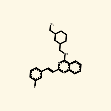 NCC1CCCC(CNc2nc(C=Cc3cccc(Cl)c3)nc3ccccc23)C1